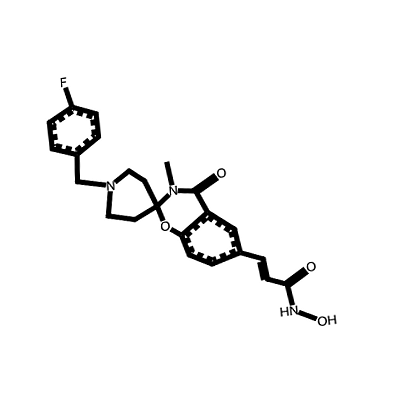 CN1C(=O)c2cc(/C=C/C(=O)NO)ccc2OC12CCN(Cc1ccc(F)cc1)CC2